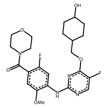 COc1cc(C(=O)N2CCOCC2)c(F)cc1Nc1ncc(F)c(OCC2CCC(O)CC2)n1